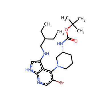 CCC(CC)CNc1c[nH]c2ncc(Br)c(N3CCC[C@@H](NC(=O)OC(C)(C)C)C3)c12